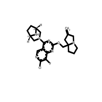 C=C1CN2CCCC2(COc2nc(N3C[C@H]4CC[C@@H](C3)N4)c3cnc(Cl)c(F)c3n2)C1